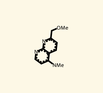 CNc1ccnc2nc(COC)ccc12